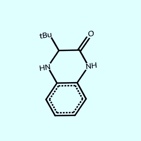 CC(C)(C)C1Nc2ccccc2NC1=O